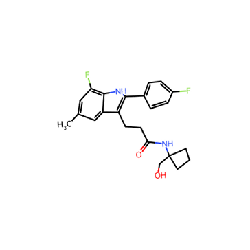 Cc1cc(F)c2[nH]c(-c3ccc(F)cc3)c(CCC(=O)NC3(CO)CCC3)c2c1